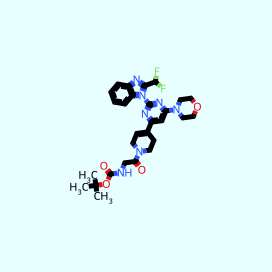 CC(C)(C)OC(=O)NCC(=O)N1CC=C(c2cc(N3CCOCC3)nc(-n3c(C(F)F)nc4ccccc43)n2)CC1